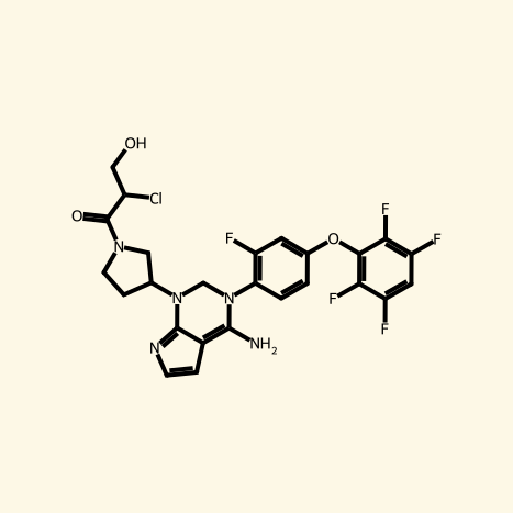 NC1=C2C=CN=C2N(C2CCN(C(=O)C(Cl)CO)C2)CN1c1ccc(Oc2c(F)c(F)cc(F)c2F)cc1F